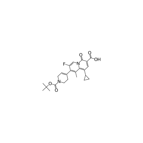 Cc1c(C2=CCN(C(=O)OC(C)(C)C)CC2)c(F)cn2c(=O)c(C(=O)O)cc(C3CC3)c12